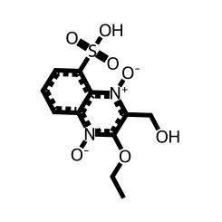 CCOc1c(CO)[n+]([O-])c2c(S(=O)(=O)O)cccc2[n+]1[O-]